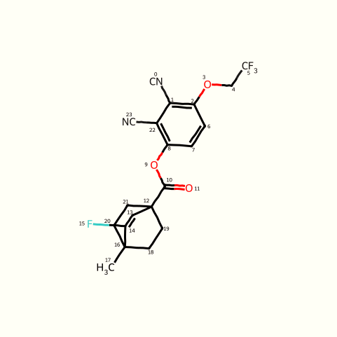 [C-]#[N+]c1c(OCC(F)(F)F)ccc(OC(=O)C23C=C(F)C(C)(CC2)CC3)c1C#N